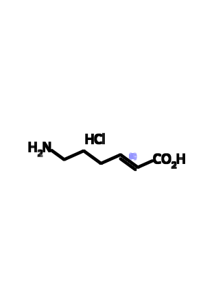 Cl.NCCC/C=C/C(=O)O